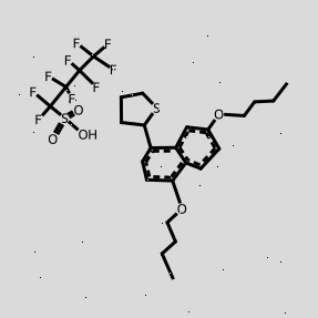 CCCCOc1ccc2c(OCCCC)ccc(C3CCCS3)c2c1.O=S(=O)(O)C(F)(F)C(F)(F)C(F)(F)C(F)(F)F